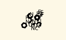 N#CN1CCC[C@@H]1C(=O)N(c1ccc(S(F)(F)(F)(F)F)cc1Cl)C(C(=O)NC1CCCCC1)c1cccnc1